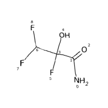 NC(=O)C(O)(F)C(F)F